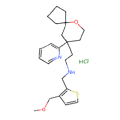 COCc1ccsc1CNCCC1(c2ccccn2)CCOC2(CCCC2)C1.Cl